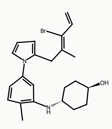 C=C/C(Br)=C(\C)Cc1cccn1-c1ccc(C)c(N[C@H]2CC[C@H](O)CC2)c1